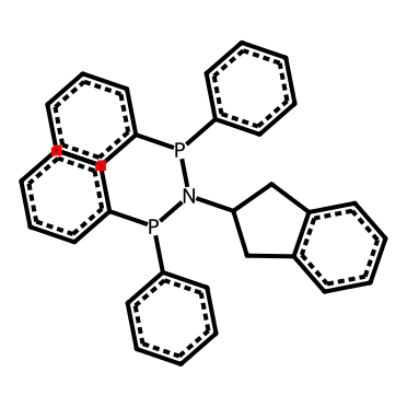 c1ccc(P(c2ccccc2)N(C2Cc3ccccc3C2)P(c2ccccc2)c2ccccc2)cc1